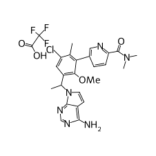 COc1c(C(C)n2ccc3c(N)ncnc32)cc(Cl)c(C)c1-c1ccc(C(=O)N(C)C)nc1.O=C(O)C(F)(F)F